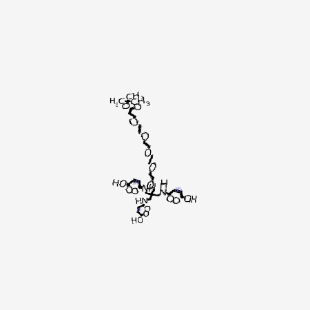 CC(C)(C)OC(=O)CCOCCOCCOCCOCCOCC(CNC(=O)/C=C\C(=O)O)(CNC(=O)/C=C\C(=O)O)CNC(=O)/C=C\C(=O)O